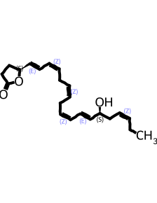 CC/C=C\C[C@H](O)/C=C/C=C\C/C=C\C/C=C\C=C\[C@@H]1CCC(=O)O1